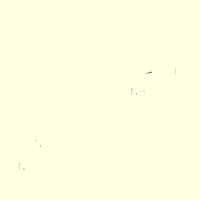 O=C(N[C@@H](CCO)C(=O)O)c1cccc(/C=C(/Cn2ccnc2)c2ccc(F)cc2)c1